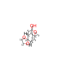 CC12C[C@@H]3CC(O)(C[C@H](C1)C31OCCO1)O2